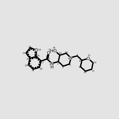 O=C(NC1CCN(CC2CCCCO2)CC1O)c1cccc2ccoc12